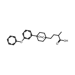 CC(CCC12CCC(c3cccc(Oc4ccccc4)c3)(CC1)OC2)C(=O)O